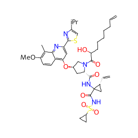 C=CCCCCCC(O)C(=O)N1C[C@H](Oc2cc(-c3nc(C(C)C)cs3)nc3c(C)c(OC)ccc23)C[C@H]1C(=O)NC1(C(=O)NS(=O)(=O)C2CC2)C[C@H]1C=C